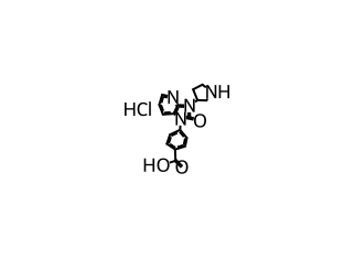 Cl.O=C(O)c1ccc(-n2c(=O)n(C3CCNC3)c3ncccc32)cc1